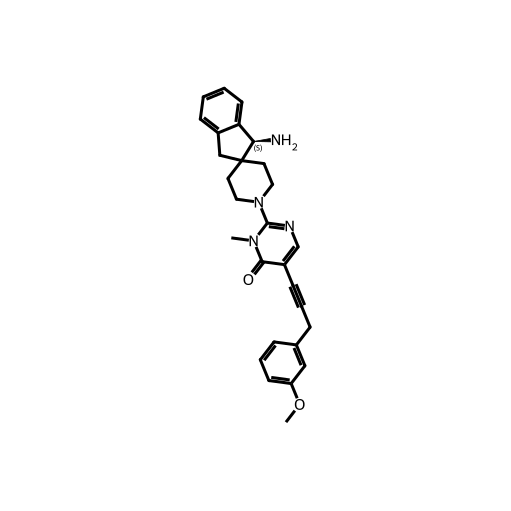 COc1cccc(CC#Cc2cnc(N3CCC4(CC3)Cc3ccccc3[C@H]4N)n(C)c2=O)c1